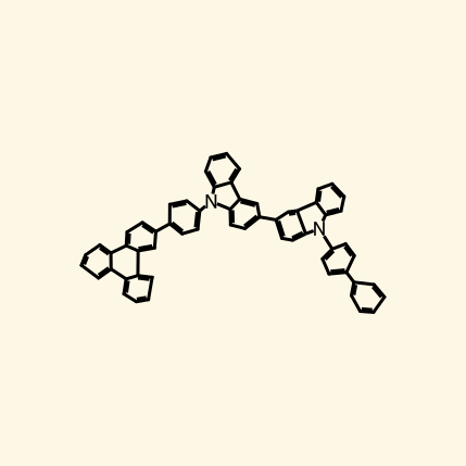 c1ccc(-c2ccc(-n3c4ccccc4c4cc(-c5ccc6c(c5)c5ccccc5n6-c5ccc(-c6ccc7c8ccccc8c8ccccc8c7c6)cc5)ccc43)cc2)cc1